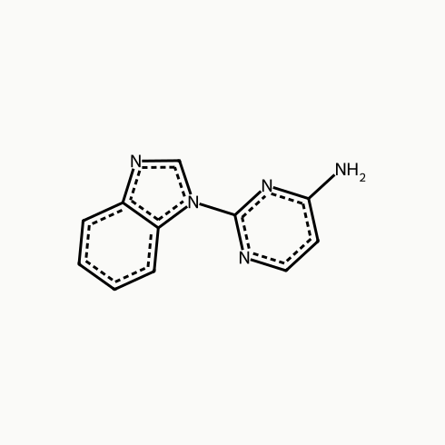 Nc1ccnc(-n2cnc3ccccc32)n1